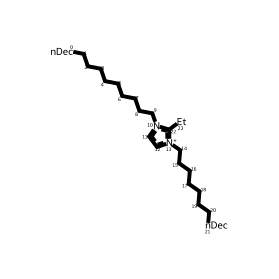 CCCCCCCCCCCCCCCCCCCn1cc[n+](CCCCCCCCCCCCCCCCC)c1CC